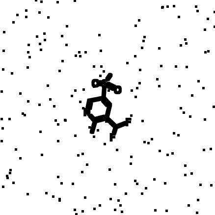 Cc1ncc(S(C)(=O)=O)cc1C(F)F